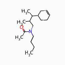 CCCCN(CC(C)C(C)C1CC=CCC1)C(C)=O